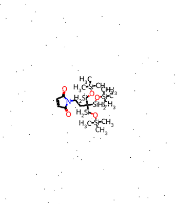 C[Si](C)(C)O[SiH2]C(CCN1C(=O)C=CC1=O)([SiH2]O[Si](C)(C)C)[SiH2]O[Si](C)(C)C